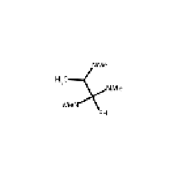 CNC(C)C(S)(NC)NC